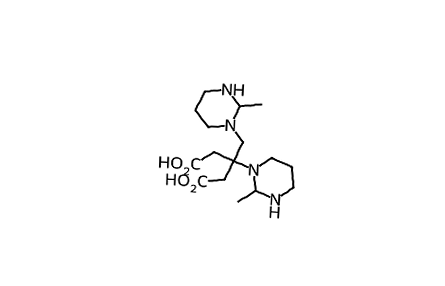 CC1NCCCN1CC(CC(=O)O)(CC(=O)O)N1CCCNC1C